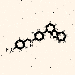 FC(F)(F)c1ccc(CNc2ccc(-c3cccc4c3oc3ccccc34)cc2)cc1